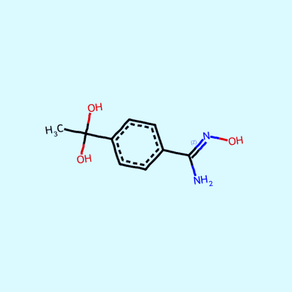 CC(O)(O)c1ccc(/C(N)=N/O)cc1